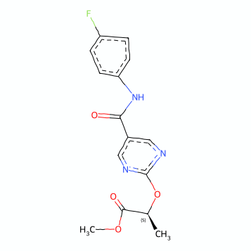 COC(=O)[C@H](C)Oc1ncc(C(=O)Nc2ccc(F)cc2)cn1